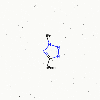 CCCCCc1nnn(C(C)C)n1